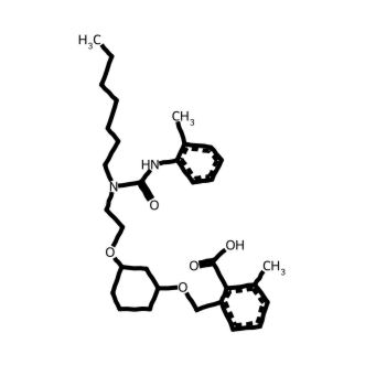 CCCCCCCN(CCOC1CCCC(OCc2cccc(C)c2C(=O)O)C1)C(=O)Nc1ccccc1C